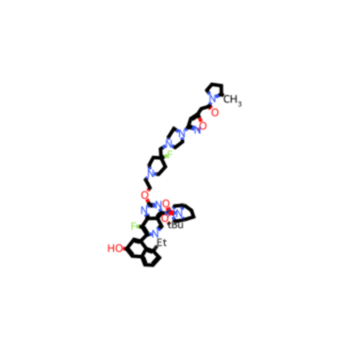 CCc1cccc2cc(O)cc(-c3ncc4c(N5CC6CCC(C5)N6C(=O)OC(C)(C)C)nc(OCCN5CCC(F)(CN6CCN(c7cc(CC(=O)N8CCCC8C)on7)CC6)CC5)nc4c3F)c12